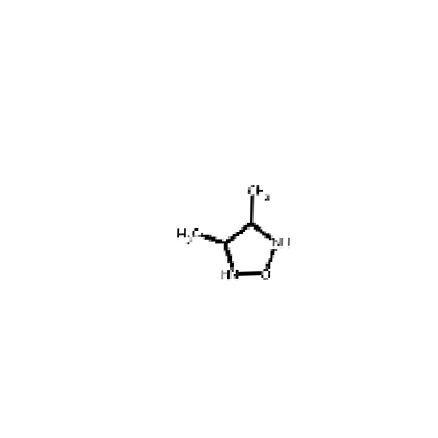 CC1NONC1C